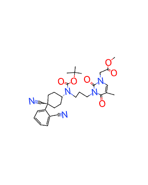 COC(=O)Cn1cc(C)c(=O)n(CCCN(C(=O)OC(C)(C)C)[C@H]2CC[C@@](C#N)(c3ccccc3C#N)CC2)c1=O